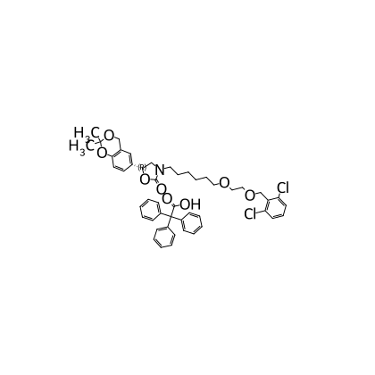 CC1(C)OCc2cc([C@@H]3CN(CCCCCCOCCOCc4c(Cl)cccc4Cl)C(=O)O3)ccc2O1.O=C(O)C(c1ccccc1)(c1ccccc1)c1ccccc1